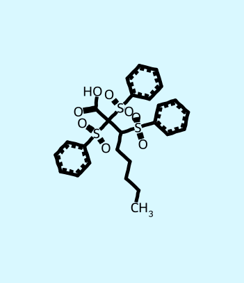 CCCCCC(C(C(=O)O)(S(=O)(=O)c1ccccc1)S(=O)(=O)c1ccccc1)S(=O)(=O)c1ccccc1